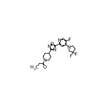 CCC(=O)N1CCC(c2noc(-c3cc(N4CCC(F)(F)C4)c(F)cn3)n2)CC1